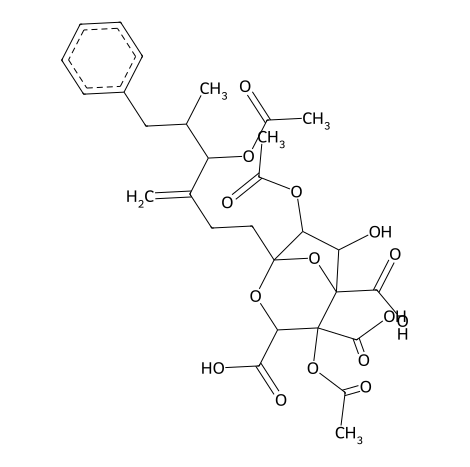 C=C(CCC12OC(C(=O)O)C(OC(C)=O)(C(=O)O)C(C(=O)O)(O1)C(O)C2OC(C)=O)C(OC(C)=O)C(C)Cc1ccccc1